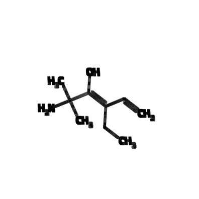 C=C/C(CC)=C(\O)C(C)(C)N